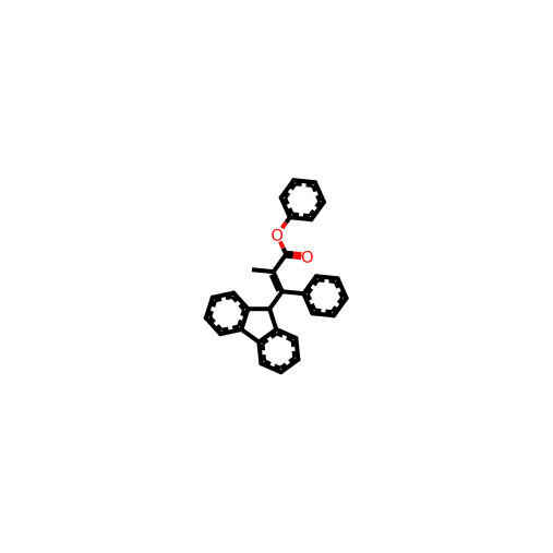 CC(C(=O)Oc1ccccc1)=C(c1ccccc1)C1c2ccccc2-c2ccccc21